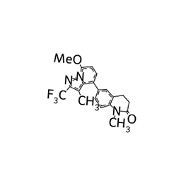 COc1ccc(-c2ccc3c(c2)CCC(=O)N3C)c2c(C)c(C(F)(F)F)nn12